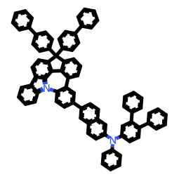 c1ccc(-c2ccc(C3(c4ccc(-c5ccccc5)cc4)c4cccc5c4-c4c3ccc3c6ccccc6n(c43)-c3ccc(-c4ccc6cc(N(c7ccccc7)c7ccc(-c8ccccc8)c(-c8ccccc8)c7)ccc6c4)cc3-5)cc2)cc1